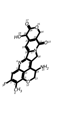 Cc1c(F)cc2nc3c(c4c2c1OCC4N)Cn1c-3cc2c(c1=O)COC(=O)C2O